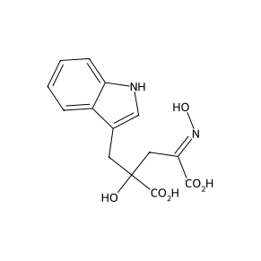 O=C(O)/C(CC(O)(Cc1c[nH]c2ccccc12)C(=O)O)=N/O